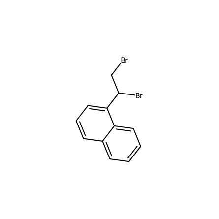 BrCC(Br)c1cccc2ccccc12